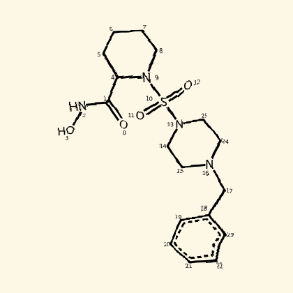 O=C(NO)C1CCCCN1S(=O)(=O)N1CCN(Cc2ccccc2)CC1